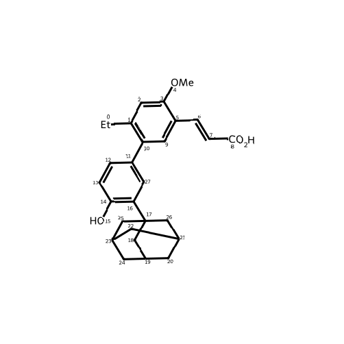 CCc1cc(OC)c(C=CC(=O)O)cc1-c1ccc(O)c(C23CC4CC(CC(C4)C2)C3)c1